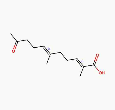 CC(=O)CC/C=C(\C)CC/C=C(\C)C(=O)O